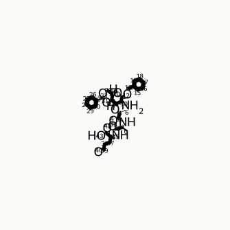 C[C@H](NC(=O)[C@@H](C)O[C@@H]1[C@@H](N)[C@@H](OCc2ccccc2)O[C@@H]2CO[C@@H](c3ccccc3)O[C@@H]12)C(=O)NC(CCC=O)C(=O)O